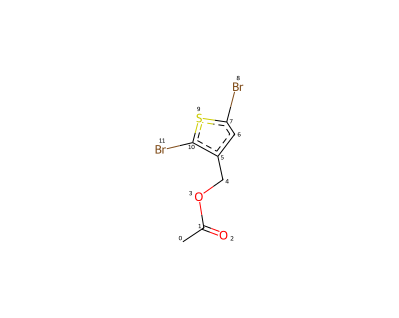 CC(=O)OCc1cc(Br)sc1Br